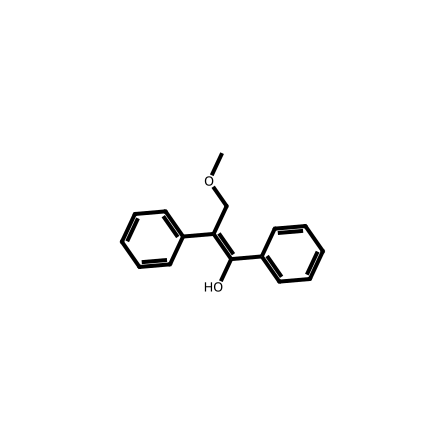 COCC(=C(O)c1ccccc1)c1ccccc1